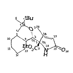 CCOC(=O)[C@]1([C@@H](O[Si](C)(C)C(C)(C)C)C2CCCCC2)NC(=O)C=C1C